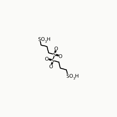 O=S(=O)(O)CCCS(=O)(=O)S(=O)(=O)CCCS(=O)(=O)O